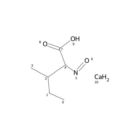 CCC(C)C(N=O)C(=O)O.[CaH2]